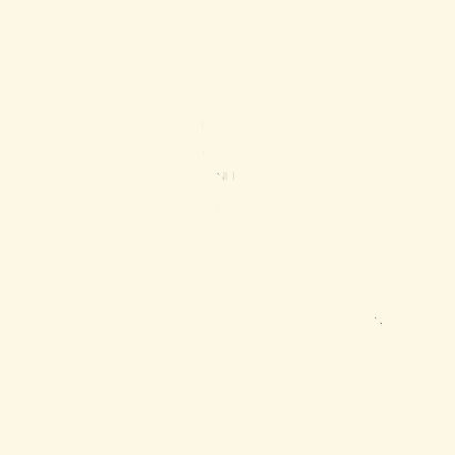 C[C@H](NC(=O)c1ccc(-c2ccncc2)cc1Cl)c1ccc(F)c(F)c1